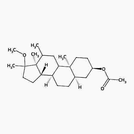 COC1(C)CC[C@H]2[C@@H]3CC[C@@H]4C[C@H](OC(C)=O)CC[C@]4(C)C3CC(C)[C@@]21C